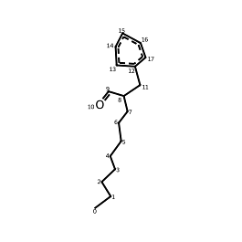 CCCCCCCCC(C=O)Cc1ccccc1